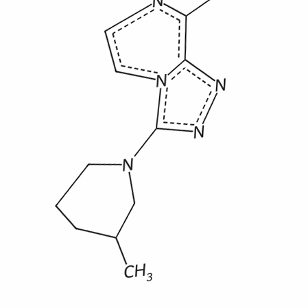 CC1CCCN(c2nnc3c(Cl)nccn23)C1